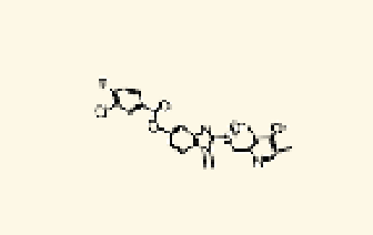 COc1c(C)cnc(C[S+]([O-])c2nc3cc(OC(=O)c4ccc(F)c(Cl)c4)ccc3[nH]2)c1C